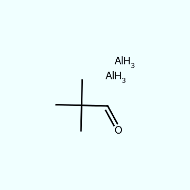 CC(C)(C)C=O.[AlH3].[AlH3]